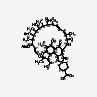 CCC(=O)N1CCC2(CC1)N=C1C(=C3NC(=O)/C(C)=C\C=C\C(C)C(O)C(C)C(O)C(C)C(OC(C)=O)C(C)C(OC)/C=C/OC4(C)Oc5c(C)c(O)c(c1c5/C4=N/O)C3=O)N2